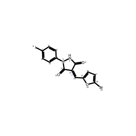 O=C1NN(c2ccc(I)cc2)C(=O)/C1=C/c1ccc(Br)o1